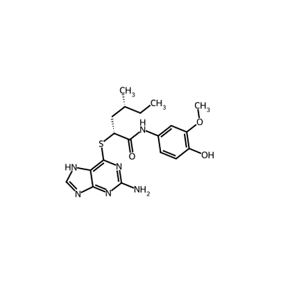 CC[C@@H](C)C[C@@H](Sc1nc(N)nc2nc[nH]c12)C(=O)Nc1ccc(O)c(OC)c1